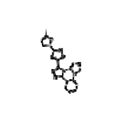 Cc1ccc(-c2noc(-c3nnc4c5ccccc5n5cncc5n34)n2)o1